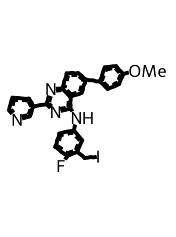 COc1ccc(-c2ccc3nc(-c4cccnc4)nc(Nc4ccc(F)c(CI)c4)c3c2)cc1